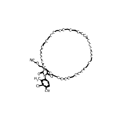 Cc1c(N2C(=O)N(CCOCC#N)C3(CCCCCCCCCCCCCCCCCCCCCCCCCCCCCCCCCCCCCCCCC3)C2=O)ccc(C#N)c1Cl